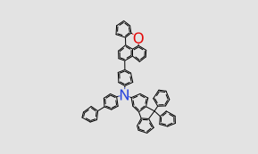 c1ccc(-c2ccc(N(c3ccc(-c4ccc5c6c(cccc46)Oc4ccccc4-5)cc3)c3ccc4c(c3)-c3ccccc3C4(c3ccccc3)c3ccccc3)cc2)cc1